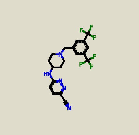 N#Cc1ccc(NC2CCN(Cc3cc(C(F)(F)F)cc(C(F)(F)F)c3)CC2)nn1